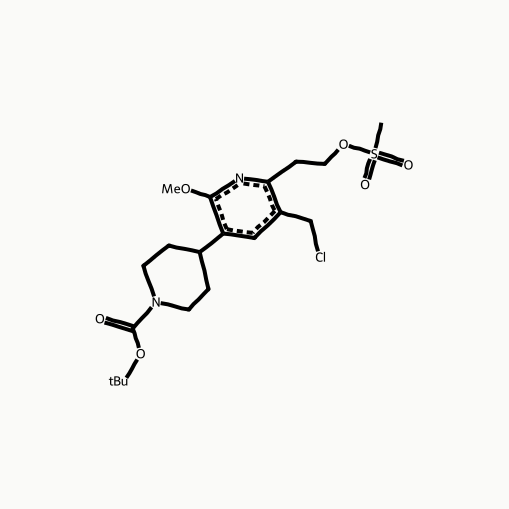 COc1nc(CCOS(C)(=O)=O)c(CCl)cc1C1CCN(C(=O)OC(C)(C)C)CC1